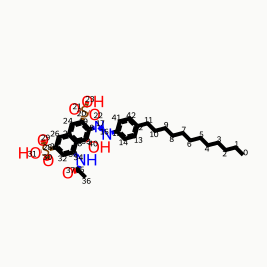 CCCCCCCCCCCCc1ccc(N=Nc2c(S(=O)(=O)O)cc3cc(S(=O)(=O)O)cc(NC(C)=O)c3c2O)cc1